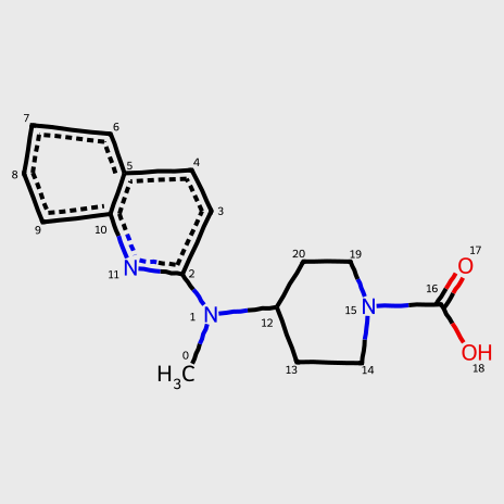 CN(c1ccc2ccccc2n1)C1CCN(C(=O)O)CC1